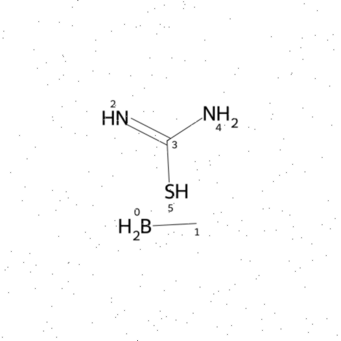 BC.N=C(N)S